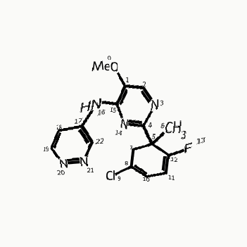 COc1cnc(C2(C)CC(Cl)=CC=C2F)nc1Nc1ccnnc1